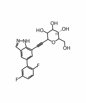 OCC1OC(C#Cc2cc(-c3cc(F)ccc3F)cc3cn[nH]c23)C(O)C(O)[C@@H]1O